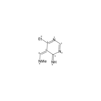 CCC1=NC=NC(=N)/C1=C\NC